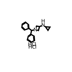 Cl.Cl.c1ccc(C(c2ccccc2)N2CC(NC3CC3)C2)cc1